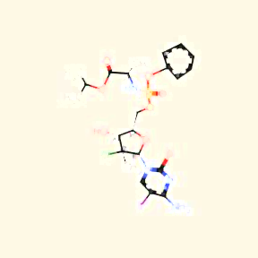 CC(C)OC(=O)[C@@H](C)N[P@](=O)(OC[C@H]1O[C@@H](n2cc(I)c(N)nc2=O)[C@](C)(Cl)[C@@H]1O)Oc1ccccc1